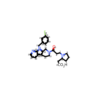 O=C(O)CC1CCCN1CCC(=O)N1CCc2c(n(Cc3cccc(F)c3)c3ncccc23)C1